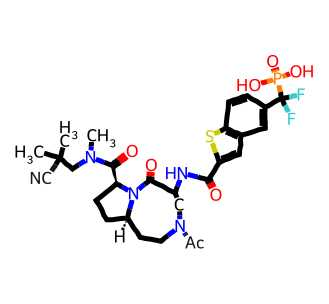 CC(=O)N1CC[C@H]2CC[C@@H](C(=O)N(C)CC(C)(C)C#N)N2C(=O)C(NC(=O)c2cc3cc(C(F)(F)P(=O)(O)O)ccc3s2)C1